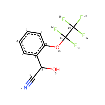 N#CC(O)c1ccccc1OC(F)(F)C(F)(F)F